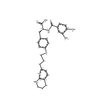 Nc1cc(C(=O)N[C@@H](Cc2ccc(OCCCc3ccc4c(n3)NCCC4)cc2)C(=O)O)ccc1O